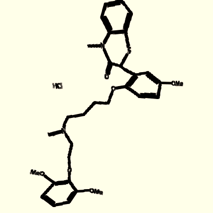 COc1ccc(OCCCCN(C)CCOc2c(OC)cccc2OC)c(C2Sc3ccccc3N(C)C2=O)c1.Cl